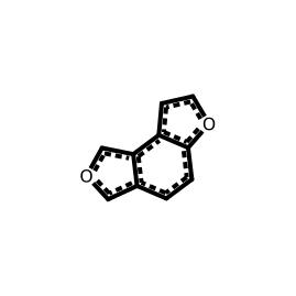 c1cc2c(ccc3cocc32)o1